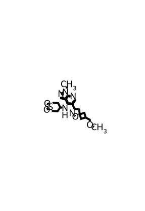 CCn1ncc2c(NC3CCS(=O)(=O)CC3)c(C3=NOC4(C3)CC(COC)C4)cnc21